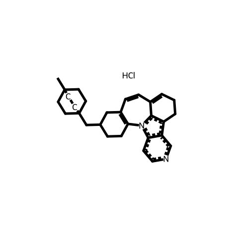 CC12CCC(CC3CCC4=C(C=CC5=CCCc6c5n4c4ccncc64)C3)(CC1)CC2.Cl